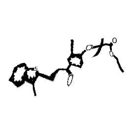 CCOC(=O)C(C)(C)Oc1ccc(C(=O)CCc2sc3ccccc3c2C)cc1C